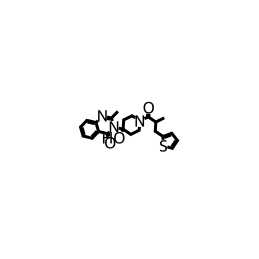 Cc1nc2ccccc2c(=O)n1C1(O)CCN(C(=O)C(C)Cc2cccs2)CC1